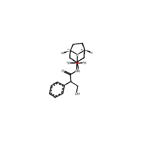 [2H]C([2H])([2H])N1[C@@H]2CC[C@H]1CC(OC(=O)C(CO)c1ccccc1)C2